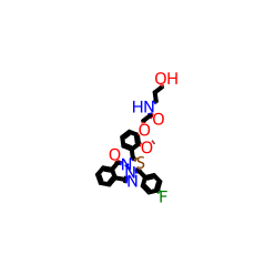 COc1c(OCC(=O)NCCCO)cccc1C1SC(c2ccc(F)cc2)=NN1C(=O)c1ccccc1C#N